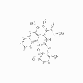 CC(C)(C)OC(=O)N(C(=O)OC(C)(C)C)C(NC(=O)Cc1c(C#N)ccc(Cl)[n+]1[O-])c1ccc2ccncc2c1